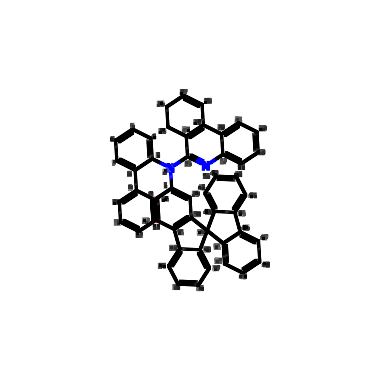 c1c(N(c2ccccc2-c2ccccc2)c2nc3ccccc3c3c2CCC=C3)cc2c(c#1)-c1ccccc1C21c2ccccc2-c2ccccc21